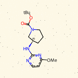 COc1ccnc(N[C@@H]2CCCN(C(=O)OC(C)(C)C)C2)n1